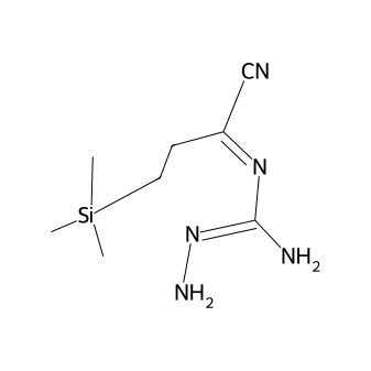 C[Si](C)(C)CCC(C#N)=NC(N)=NN